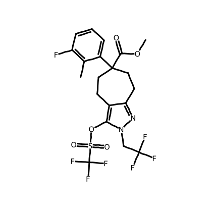 COC(=O)C1(c2cccc(F)c2C)CCc2nn(CC(F)(F)F)c(OS(=O)(=O)C(F)(F)F)c2CC1